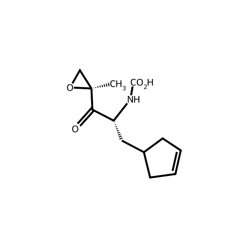 C[C@@]1(C(=O)[C@@H](CC2CC=CC2)NC(=O)O)CO1